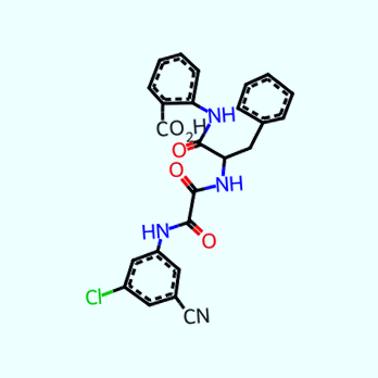 N#Cc1cc(Cl)cc(NC(=O)C(=O)NC(Cc2ccccc2)C(=O)Nc2ccccc2C(=O)O)c1